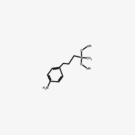 CCCO[Si](C)(CCCc1ccc(N)cc1)OCCC